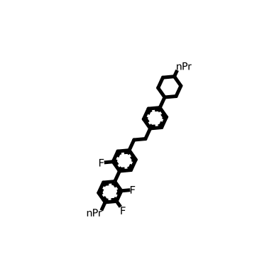 CCCc1ccc(-c2ccc(CCc3ccc(C4CCC(CCC)CC4)cc3)cc2F)c(F)c1F